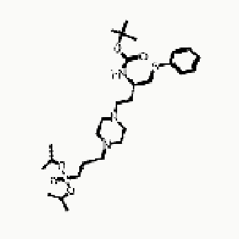 CC(C)OP(=O)(CCCN1CCN(CC[C@H](CSc2ccccc2)NC(=O)OC(C)(C)C)CC1)OC(C)C